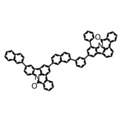 O=c1c2ccccc2c2cc(-c3ccc4ccc(-c5cccc(-c6cc(-c7ccccc7)c7c(c6)c6cccc8c9ccccc9c(=O)n7c86)c5)cc4c3)cc3c4cc(-c5ccc6ccccc6c5)ccc4n1c23